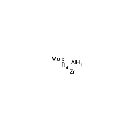 [AlH3].[Mo].[SiH4].[Zr]